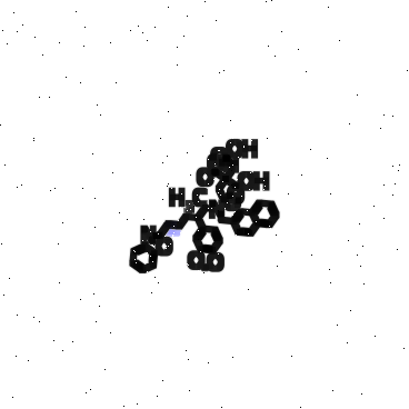 CC(C(C/C=C/c1nc2ccccc2o1)c1ccc2c(c1)OCO2)N(Cc1ccc2ccccc2c1)C(=O)CC(CC(=O)O)(C(=O)O)C(=O)O